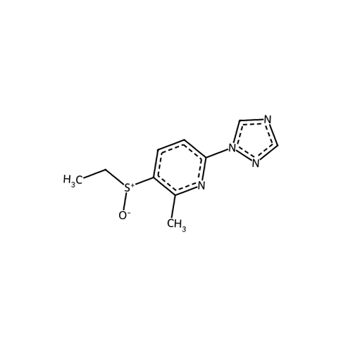 CC[S+]([O-])c1ccc(-n2cncn2)nc1C